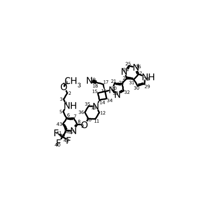 COCCNCc1cc(OC2CCN([C@H]3C[C@](CC#N)(n4cc(-c5ncnc6[nH]ccc56)cn4)C3)CC2)nc(C(F)(F)F)c1